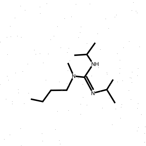 CCCCN(C)/C(=N/C(C)C)NC(C)C